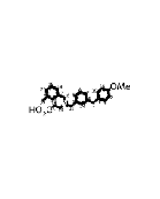 COc1ccc(Cc2cccc(CN(CCC(=O)O)Cc3cccc(C)c3)c2)cc1